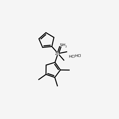 CC1=C(C)C(C)=[C]([Zr]([CH3])([CH3])(=[SiH2])[C]2=CC=CC2)C1.Cl.Cl